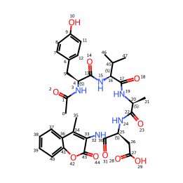 CC(=O)N[C@@H](Cc1ccc(O)cc1)C(=O)N[C@H](C(=O)N[C@@H](C)C(=O)N[C@@H](CC(=O)O)C(=O)Nc1c(C)c2ccccc2oc1=O)C(C)C